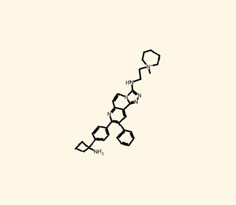 C[N+]1(CCNc2nnc3c4cc(-c5ccccc5)c(-c5ccc(C6(N)CCC6)cc5)nc4ccn23)CCCCC1